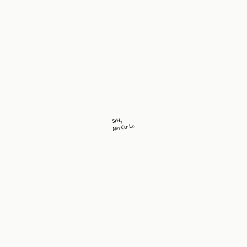 [Cu].[La].[Mn].[SrH2]